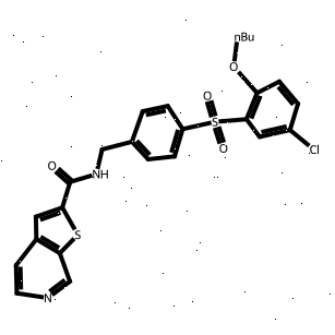 CCCCOc1ccc(Cl)cc1S(=O)(=O)c1ccc(CNC(=O)c2cc3ccncc3s2)cc1